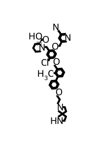 Cc1c(COc2cc(OCc3cncc(C#N)c3)c(CN3CCCC[C@H]3C(=O)O)cc2Cl)cccc1-c1cccc(OCCCN2CCC3(CCNC3)C2)c1